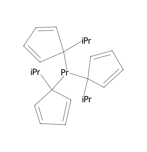 CC(C)[C]1([Pr]([C]2(C(C)C)C=CC=C2)[C]2(C(C)C)C=CC=C2)C=CC=C1